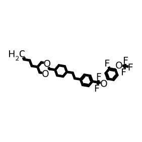 C=CCCC1COC(C2CCC(CCc3ccc(C(F)(F)Oc4ccc(OC(F)(F)F)c(F)c4)cc3)CC2)OC1